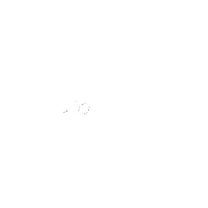 CCCCOc1ccc2c(c1)[C@H]1CCC3(C[C@@H]1C(=O)O2)OCCO3